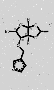 CC[C@H]1O[C@@H]2OC(C)O[C@@H]2[C@H]1OCc1ccoc1